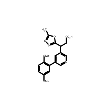 COc1ccc(OC)c(-c2cncc(C(CC(=O)O)c3nnc(C)o3)c2)c1